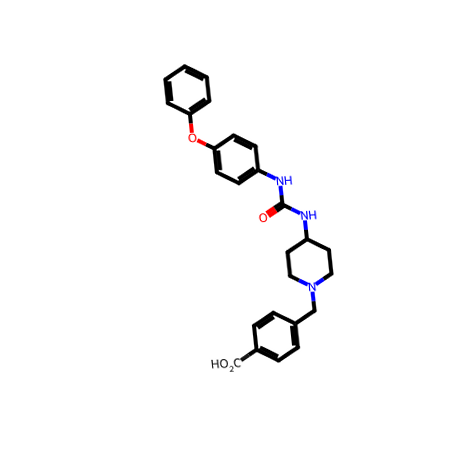 O=C(Nc1ccc(Oc2ccccc2)cc1)NC1CCN(Cc2ccc(C(=O)O)cc2)CC1